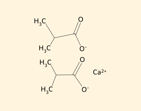 CC(C)C(=O)[O-].CC(C)C(=O)[O-].[Ca+2]